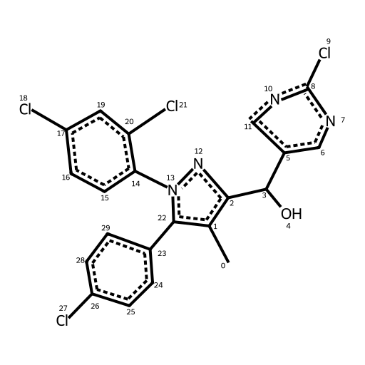 Cc1c(C(O)c2cnc(Cl)nc2)nn(-c2ccc(Cl)cc2Cl)c1-c1ccc(Cl)cc1